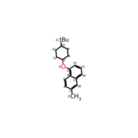 Cc1ccc2c(OC3CCC(C(C)(C)C)CC3)cccc2c1